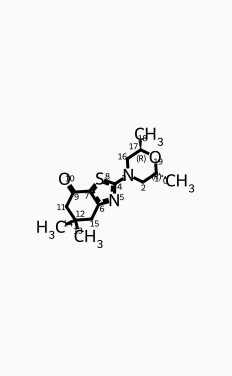 C[C@@H]1CN(c2nc3c(s2)C(=O)CC(C)(C)C3)C[C@@H](C)O1